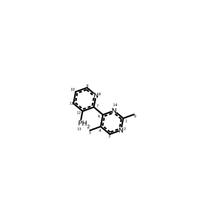 Cc1ncc(C)c(-c2ncccc2P)n1